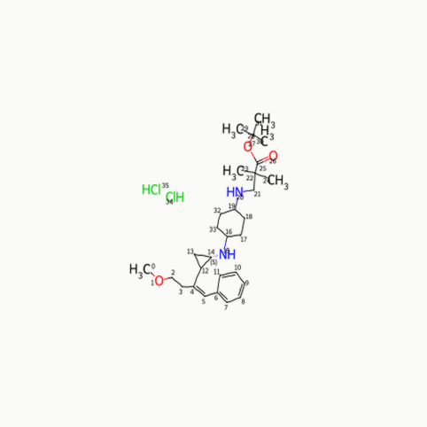 COCCC(=Cc1ccccc1)C1C[C@@H]1NC1CCC(NCC(C)(C)C(=O)OC(C)(C)C)CC1.Cl.Cl